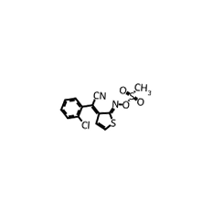 CS(=O)(=O)O/N=C1\SC=C\C1=C(\C#N)c1ccccc1Cl